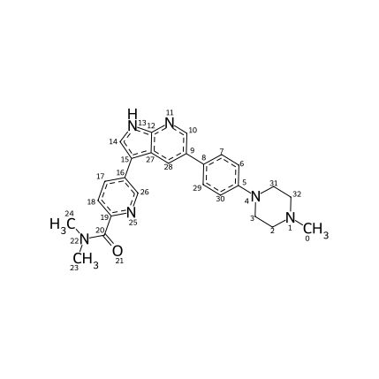 CN1CCN(c2ccc(-c3cnc4[nH]cc(-c5ccc(C(=O)N(C)C)nc5)c4c3)cc2)CC1